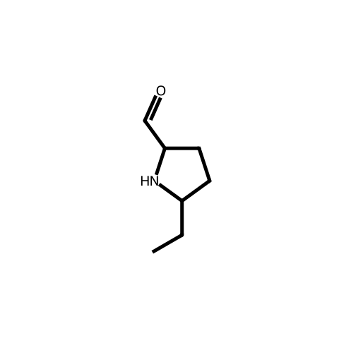 CCC1CCC(C=O)N1